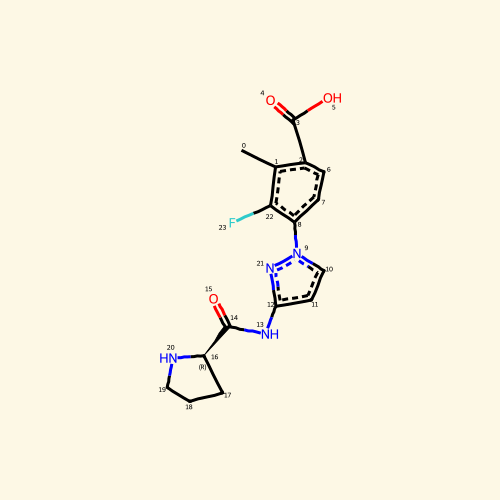 Cc1c(C(=O)O)ccc(-n2ccc(NC(=O)[C@H]3CCCN3)n2)c1F